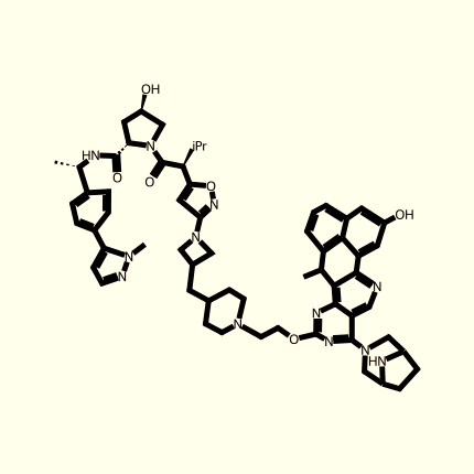 CC1c2c(ncc3c(N4CC5CCC(C4)N5)nc(OCCN4CCC(CC5CN(c6cc([C@@H](C(=O)N7C[C@H](O)C[C@H]7C(=O)N[C@@H](C)c7ccc(-c8ccnn8C)cc7)C(C)C)on6)C5)CC4)nc23)-c2cc(O)cc3cccc1c23